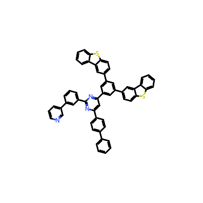 c1ccc(-c2ccc(-c3cc(-c4cc(-c5ccc6sc7ccccc7c6c5)cc(-c5ccc6sc7ccccc7c6c5)c4)nc(-c4cccc(-c5cccnc5)c4)n3)cc2)cc1